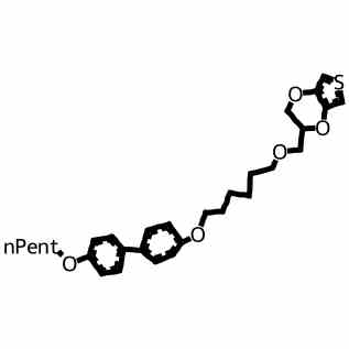 CCCCCOc1ccc(-c2ccc(OCCCCCCOCC3COc4cscc4O3)cc2)cc1